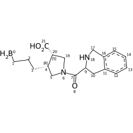 BCCC[C@H]1CN(C(=O)C2Cc3ccccc3CN2)C[C@H]1C(=O)O